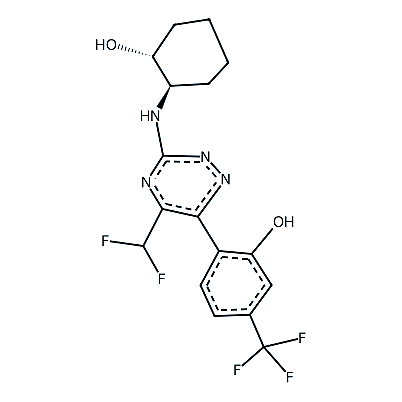 Oc1cc(C(F)(F)F)ccc1-c1nnc(N[C@@H]2CCCC[C@H]2O)nc1C(F)F